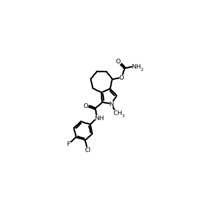 Cn1cc2c(c1C(=O)Nc1ccc(F)c(Cl)c1)CCCCC2OC(N)=O